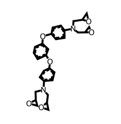 c1cc(Oc2ccc(N(CC3CO3)CC3CO3)cc2)cc(Oc2ccc(N(CC3CO3)CC3CO3)cc2)c1